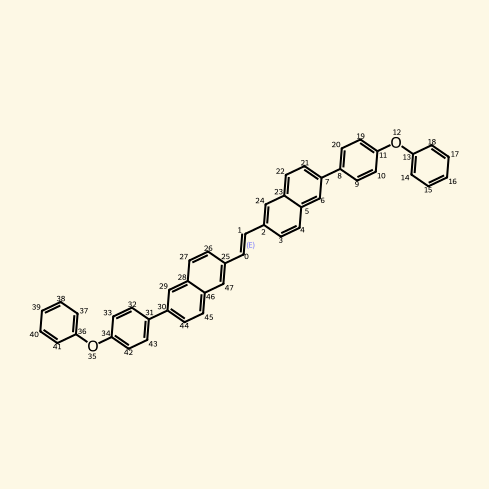 C(=C\c1ccc2cc(-c3ccc(Oc4ccccc4)cc3)ccc2c1)/c1ccc2cc(-c3ccc(Oc4ccccc4)cc3)ccc2c1